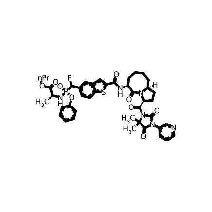 CCCOC(=O)[C@H](C)NP(=O)(Oc1ccccc1)C(F)c1ccc2sc(C(=O)N[C@H]3CCCC[C@H]4CC[C@@H](C(=O)N5C(=O)N(c6cccnc6)C(=O)C5(C)C)N4C3=O)cc2c1